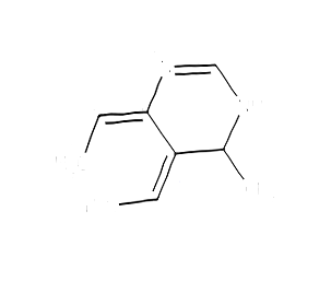 C/C=C1\C(=C/C)N=CNC1C